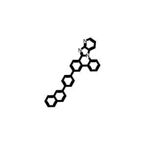 c1ccc2cc(-c3ccc(-c4ccc5c(c4)c4ccccc4n4c6cccnc6nc54)cc3)ccc2c1